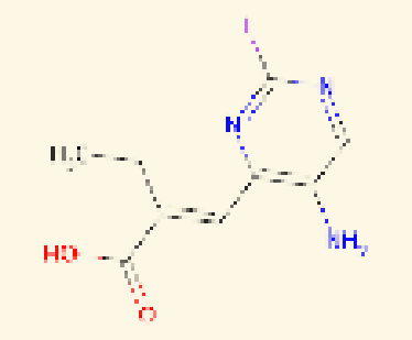 CC/C(=C\c1nc(I)ncc1N)C(=O)O